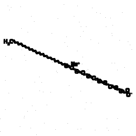 CCCCCCCCCCCCCCCCCCCCCCCCCCCCCCOCCOCCOCCOCCOCCOCCOCCOCCOCCOCCOCCC(=O)[O-].[Na+]